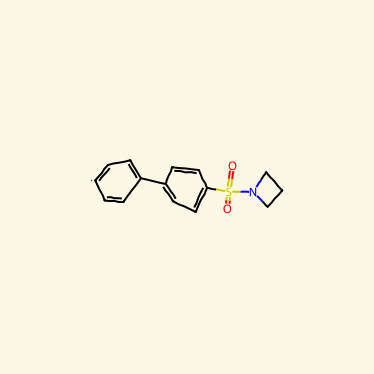 O=S(=O)(c1ccc(-c2cc[c]cc2)cc1)N1CCC1